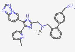 BN(Cc1nc(-c2cccc(C)n2)c(-c2ccc3ncnn3c2)[nH]1)Cc1ccccc1-c1ccc(CN)cc1